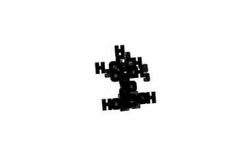 CC(C)C(C(=O)OCC(=O)OC12CC3CC(O)(CC(O)(C3)C1)C2)C(C)C